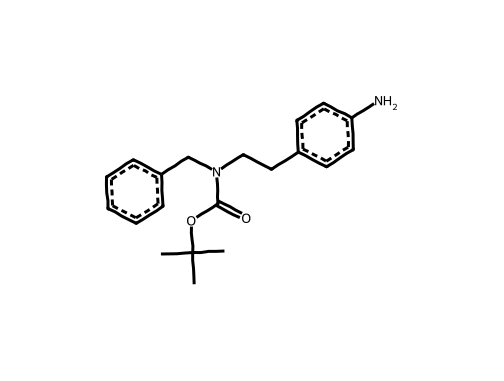 CC(C)(C)OC(=O)N(CCc1ccc(N)cc1)Cc1ccccc1